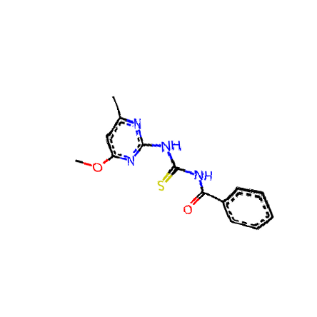 COc1cc(C)nc(NC(=S)NC(=O)c2ccccc2)n1